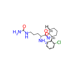 NC(=O)NCCCC(N)C1=N[C@@]2(c3ccccc3Cl)CCC[C@@H](O1)C2=O